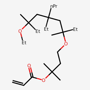 C=CC(=O)OC(C)(C)CCOC(C)(CC)CC(CC)(CCC)CC(C)(CC)OCC